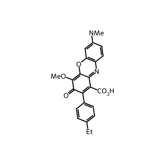 CCc1ccc(-c2c(C(=O)O)c3nc4ccc(NC)cc4oc-3c(OC)c2=O)cc1